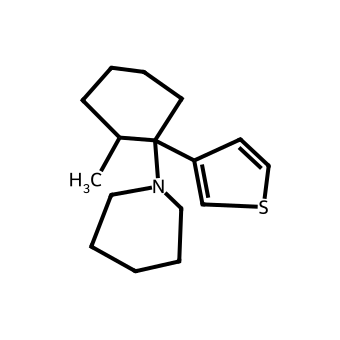 CC1CCCCC1(c1ccsc1)N1CCCCC1